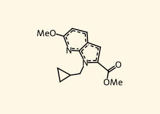 COC(=O)c1cc2ccc(OC)nc2n1CC1CC1